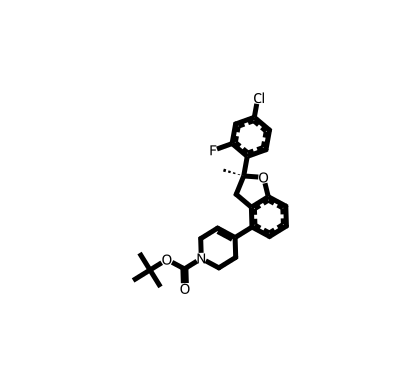 CC(C)(C)OC(=O)N1CC=C(c2cccc3c2C[C@@](C)(c2ccc(Cl)cc2F)O3)CC1